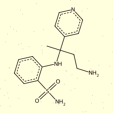 CC(CCN)(Nc1ccccc1S(N)(=O)=O)c1ccncc1